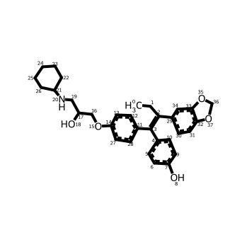 CC/C(=C(/c1ccc(O)cc1)c1ccc(OCC(O)CNC2CCCCC2)cc1)c1ccc2c(c1)OCO2